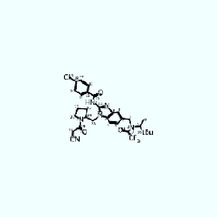 C[C@H](N(Cc1ccc2c(c1)nc(NC(=O)c1ccc(Cl)cc1)n2CC1CCCN1C(=O)CC#N)C(=O)C(F)(F)F)C(C)(C)C